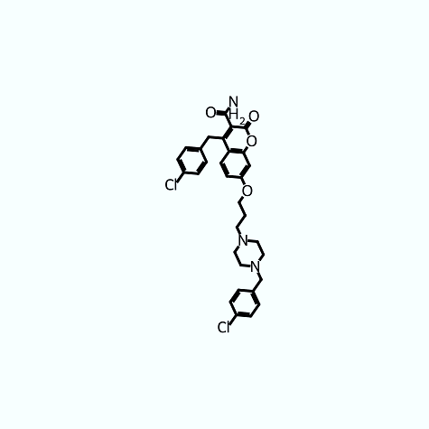 NC(=O)c1c(Cc2ccc(Cl)cc2)c2ccc(OCCCN3CCN(Cc4ccc(Cl)cc4)CC3)cc2oc1=O